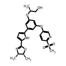 C[C@@H]1OC(c2ccc(-c3cc(Oc4ccc(S(C)(=O)=O)nc4)cc(O[C@@H](C)CO)c3)[nH]2)=N[C@@H]1C